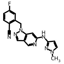 Cn1ccc(Nc2cc3c(cn2)cnn3Cc2cc(F)ccc2C#N)n1